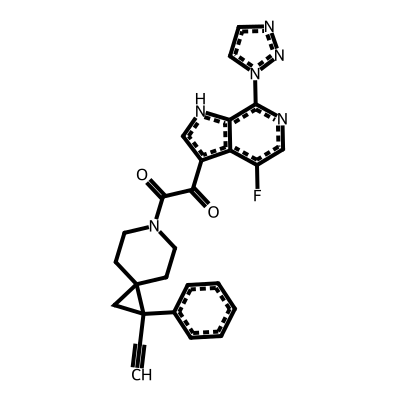 C#CC1(c2ccccc2)CC12CCN(C(=O)C(=O)c1c[nH]c3c(-n4ccnn4)ncc(F)c13)CC2